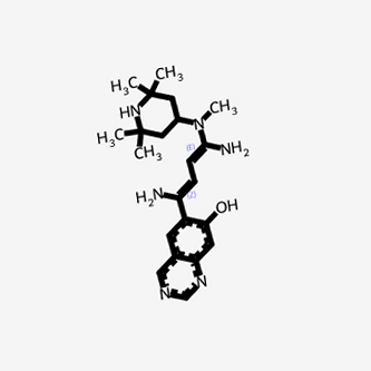 CN(/C(N)=C/C=C(\N)c1cc2cncnc2cc1O)C1CC(C)(C)NC(C)(C)C1